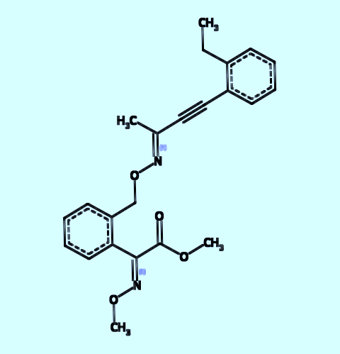 CCc1ccccc1C#C/C(C)=N/OCc1ccccc1/C(=N\OC)C(=O)OC